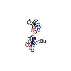 CC(C)(C)c1ccc2c(c1)N(c1ccc(C(C)(C)Cc3cccc4c3oc3cc5c6c(c34)N3c4ccccc4C(C)(C)c4cccc(c43)B6N(c3ccccc3)c3cc4c(cc3-5)C(C)(C)CCC4(C)C)cc1)B1c3cc(C(C)(C)C)cc4c3N(c3c1c-2cc1c3oc2ccccc21)C1(C)CCCCC41C